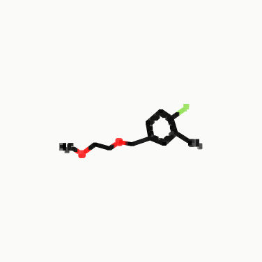 COCCOCc1ccc(F)c(C)c1